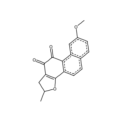 COc1ccc2ccc3c(c2c1)C(=O)C(=O)C1=C3OC(C)C1